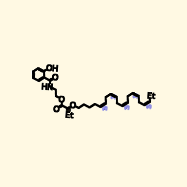 CC/C=C\C/C=C\C/C=C\C/C=C\C/C=C\CCCCO[C@H](CC)C(=O)OCCNC(=O)c1ccccc1O